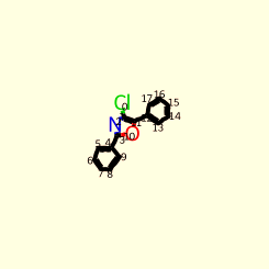 Clc1nc(-c2ccccc2)oc1-c1ccccc1